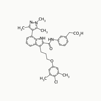 Cc1cc(OCCCc2c(C(=O)Nc3cccc(CC(=O)O)c3)[nH]c3c(-c4c(C)nn(C)c4C)cccc23)cc(C)c1Cl